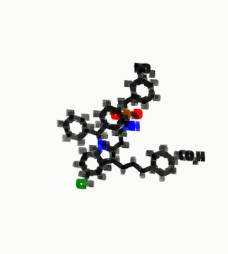 O=C(O)c1ccc(CCCc2c(CCNS(=O)(=O)Cc3cccc([N+](=O)[O-])c3)n(C(c3ccccc3)c3ccccc3)c3ccc(Cl)cc23)cc1